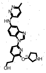 Cc1ccc(Nc2ccc3c(c2)ncn3-c2ccc(CCO)c(O[C@H]3CCNC3)n2)nn1